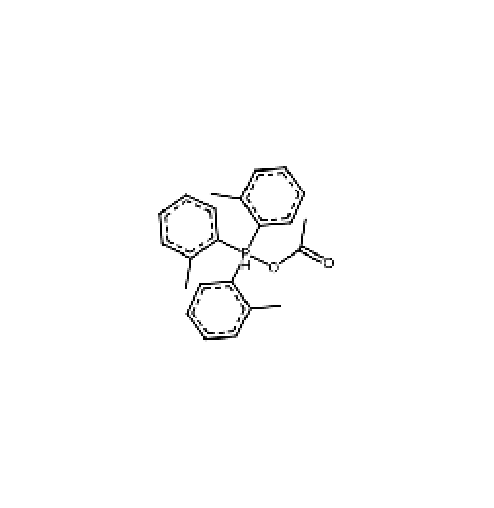 CC(=O)O[PH](c1ccccc1C)(c1ccccc1C)c1ccccc1C